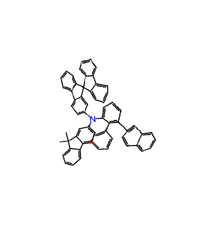 CC1(C)c2ccccc2-c2ccc(N(c3ccc4c(c3)C3(c5ccccc5-c5ccccc53)c3ccccc3-4)c3cccc(-c4ccc5ccccc5c4)c3-c3ccccc3)cc21